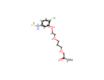 CSC(=O)COCCCOCCOc1cc(NS)ccc1F